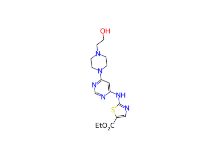 CCOC(=O)c1cnc(Nc2cc(N3CCN(CCO)CC3)ncn2)s1